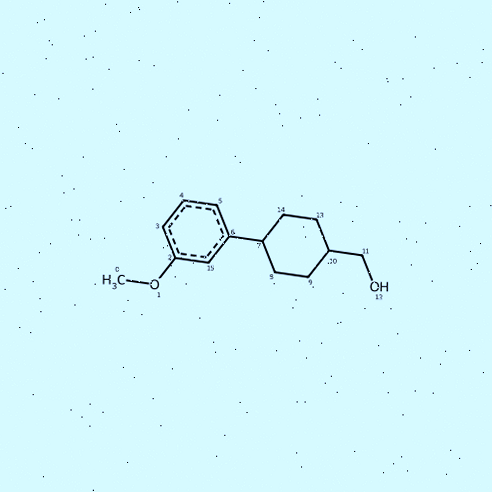 COc1cccc(C2CCC(CO)CC2)c1